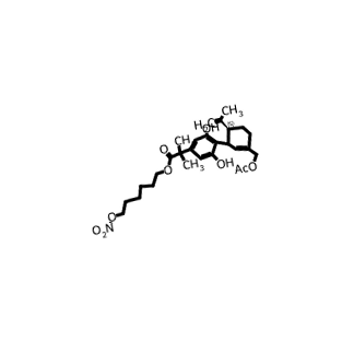 C=C(C)[C@H]1CCC(COC(C)=O)=CC1c1c(O)cc(C(C)(C)C(=O)OCCCCCCO[N+](=O)[O-])cc1O